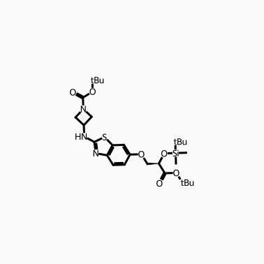 CC(C)(C)OC(=O)[C@@H](COc1ccc2nc(NC3CN(C(=O)OC(C)(C)C)C3)sc2c1)O[Si](C)(C)C(C)(C)C